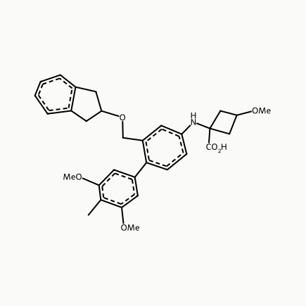 COc1cc(-c2ccc(NC3(C(=O)O)CC(OC)C3)cc2COC2Cc3ccccc3C2)cc(OC)c1C